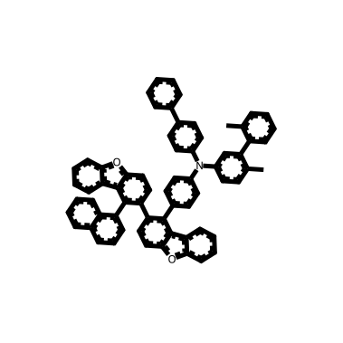 Cc1ccccc1-c1cc(N(c2ccc(-c3ccccc3)cc2)c2ccc(-c3c(-c4ccc5oc6ccccc6c5c4-c4cccc5ccccc45)ccc4oc5ccccc5c34)cc2)ccc1C